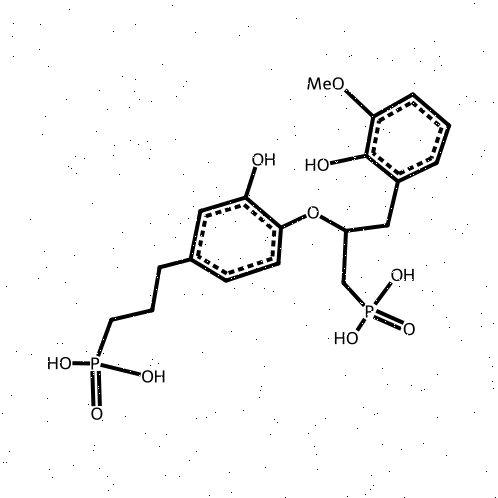 COc1cccc(CC(CP(=O)(O)O)Oc2ccc(CCCP(=O)(O)O)cc2O)c1O